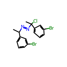 CC(/N=N/C(C)(Cl)c1cccc(Br)c1)c1cccc(Br)c1